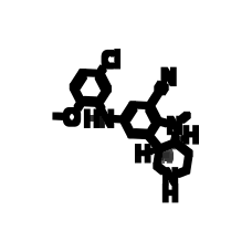 COc1ccc(Cl)cc1Nc1cc(C#N)c2c(c1)[C@@H]1CNCC[C@@H]1N2C